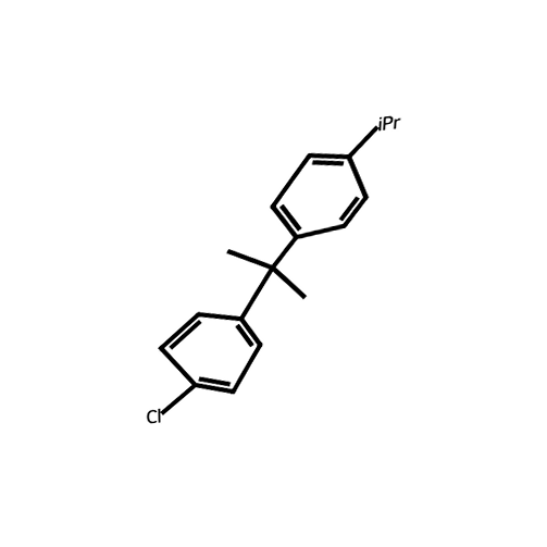 CC(C)c1ccc(C(C)(C)c2ccc(Cl)cc2)cc1